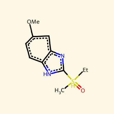 CC[SH](C)(=O)c1nc2cc(OC)ccc2[nH]1